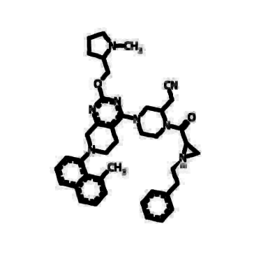 Cc1cccc2cccc(N3CCc4c(nc(OCC5CCCN5C)nc4N4CCN(C(=O)C5C[N@@]5CCc5ccccc5)C(CC#N)C4)C3)c12